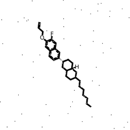 C=CCOc1cc2ccc([C@@H]3CC[C@@H]4CC(CCCCCCC)CCC4C3)cc2cc1F